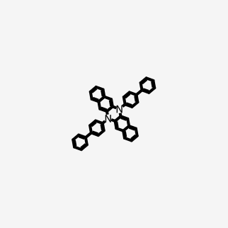 c1ccc(-c2ccc(N3c4cc5ccccc5cc4N(c4ccc(-c5ccccc5)cc4)c4cc5ccccc5cc43)cc2)cc1